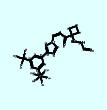 O=CNNC1(C(=O)/C=C\n2cnc(-c3cc(C(F)(F)F)cc(S(F)(F)(F)(F)F)c3)n2)CCC1